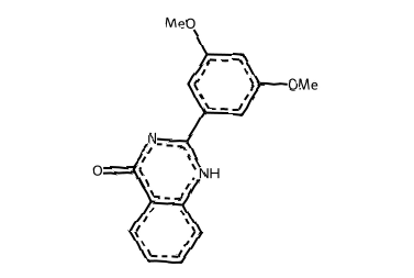 COc1cc(OC)cc(-c2nc(=O)c3ccccc3[nH]2)c1